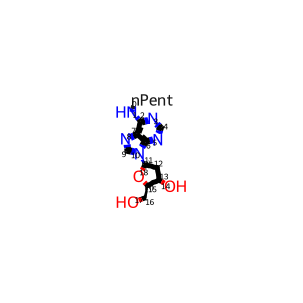 CCCCCNc1ncnc2c1ncn2[C@H]1CC(O)[C@@H](CO)O1